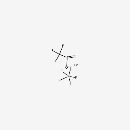 FP(F)(F)(F)F.O=S([O-])C(F)(F)F.[Li+]